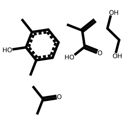 C=C(C)C(=O)O.CC(C)=O.Cc1cccc(C)c1O.OCCO